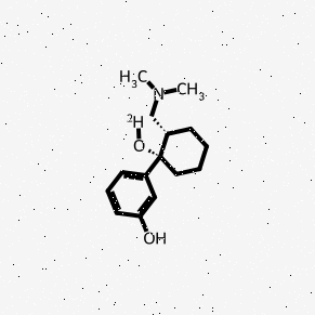 [2H]O[C@@]1(c2cccc(O)c2)CCCC[C@H]1CN(C)C